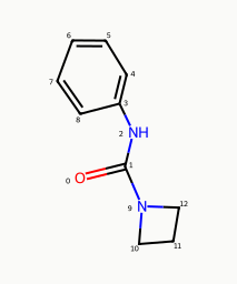 O=C(Nc1ccccc1)N1CCC1